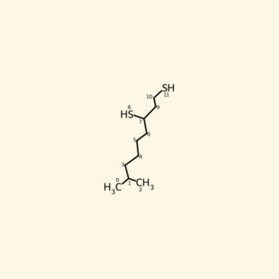 CC(C)CCCCC(S)CCS